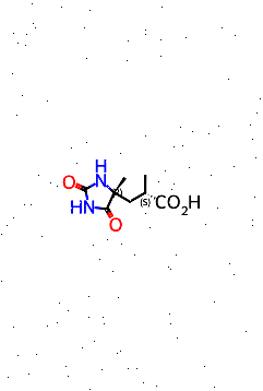 C[C@@H](C[C@@]1(C)NC(=O)NC1=O)C(=O)O